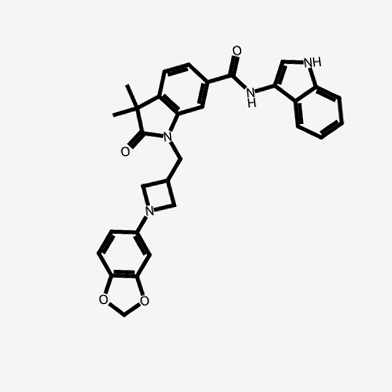 CC1(C)C(=O)N(CC2CN(c3ccc4c(c3)OCO4)C2)c2cc(C(=O)Nc3c[nH]c4ccccc34)ccc21